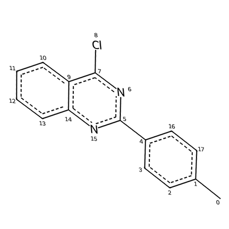 Cc1ccc(-c2nc(Cl)c3ccccc3n2)cc1